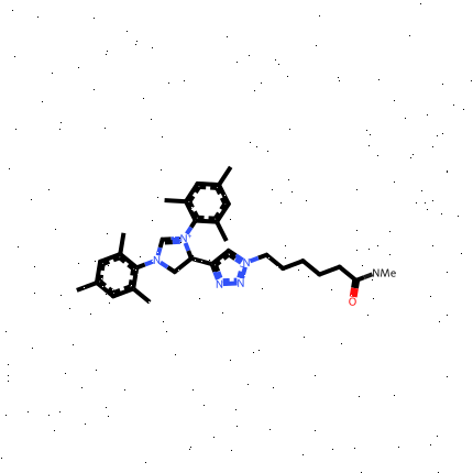 CNC(=O)CCCCCn1cc(C2CN(c3c(C)cc(C)cc3C)C=[N+]2c2c(C)cc(C)cc2C)nn1